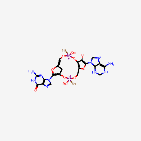 NC1=C2NCN(c3oc4c(c3O)O[PH](O)(S)O/C=C3\CC(=C(n5cnc6c(=O)[nH]c(N)nc65)O3)O[PH](O)(S)OC4)C2NCN1